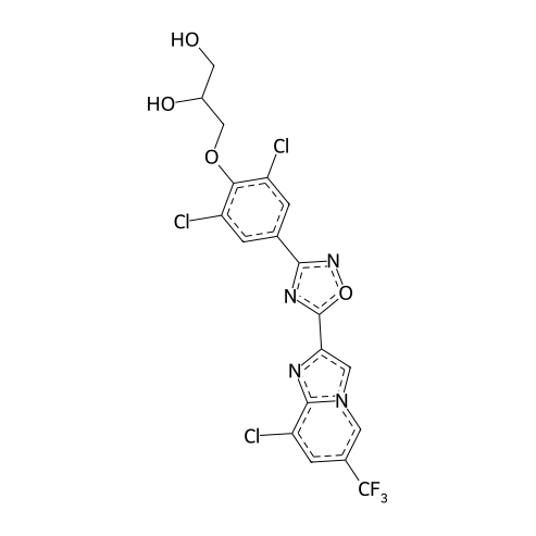 OCC(O)COc1c(Cl)cc(-c2noc(-c3cn4cc(C(F)(F)F)cc(Cl)c4n3)n2)cc1Cl